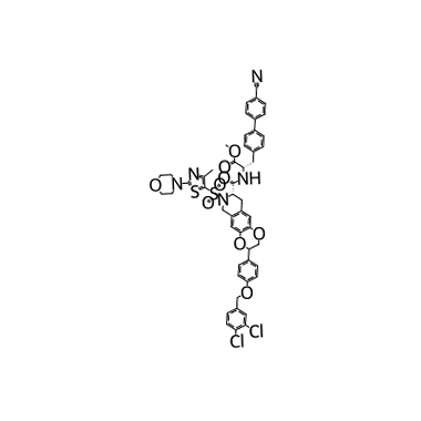 COC(=O)[C@H](Cc1ccc(-c2ccc(C#N)cc2)cc1)NC(=O)[C@@H]1Cc2cc3c(cc2CN1S(=O)(=O)c1sc(N2CCOCC2)nc1C)OC(c1ccc(OCc2ccc(Cl)c(Cl)c2)cc1)CO3